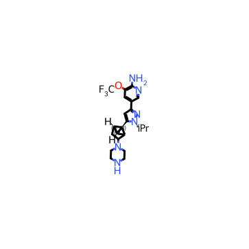 CC(C)n1nc(-c2cnc(N)c(OC(F)(F)F)c2)cc1[C@]12C3C(N4CCNCC4)C[C@@H]1[C@H]32